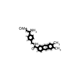 CON=C(N)c1ccc(CNC(=O)c2ccc3c(c2)C2OC3c3cc(C)c(C)cc32)cc1